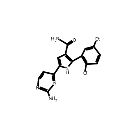 CCc1ccc(Cl)c(-c2[nH]c(-c3ccnc(N)n3)cc2C(N)=O)c1